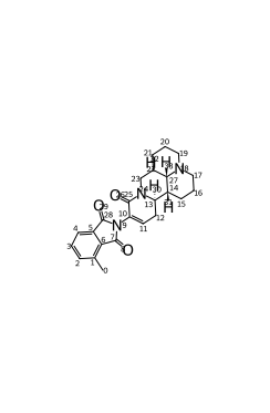 Cc1cccc2c1C(=O)N(C1=CC[C@@H]3[C@H]4CCCN5CCC[C@@H](CN3C1=O)[C@@H]45)C2=O